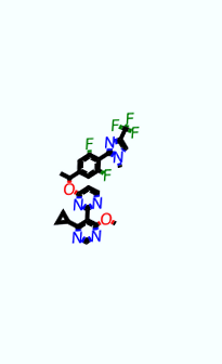 COc1ncnc(C2CC2)c1-c1nccc(OC(C)c2cc(F)c(-c3nc(C(F)(F)F)cn3C)c(F)c2)n1